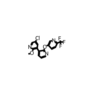 COc1ncc(Cl)cc1-c1cccnc1Oc1ccc(C(F)(F)F)nc1